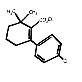 CCOC(=O)C1=C(c2ccc(Cl)cc2)CCCC1(C)C